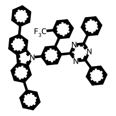 FC(F)(F)c1ccccc1-c1cc(-n2c3cc(-c4ccccc4)ccc3c3ccc(-c4ccccc4)cc32)ccc1-c1nc(-c2ccccc2)nc(-c2ccccc2)n1